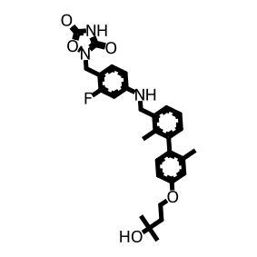 Cc1cc(OCCC(C)(C)O)ccc1-c1cccc(CNc2ccc(Cn3oc(=O)[nH]c3=O)c(F)c2)c1C